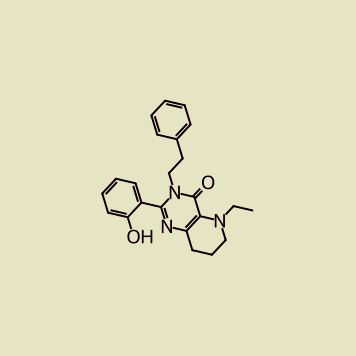 CCN1CCCc2nc(-c3ccccc3O)n(CCc3ccccc3)c(=O)c21